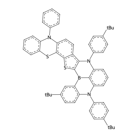 CC(C)(C)c1ccc(N2c3ccc(C(C)(C)C)cc3B3c4sc5c6c(ccc5c4N(c4ccc(C(C)(C)C)cc4)c4cccc2c43)N(c2ccccc2)c2ccccc2S6)cc1